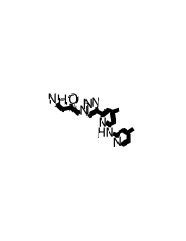 Cc1ccnc(Nc2cc(C)cc(-c3cn(C[C@H](O)CC#N)nn3)n2)c1